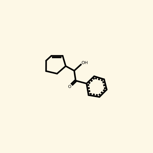 O=C(c1ccccc1)C(O)C1C=CCCC1